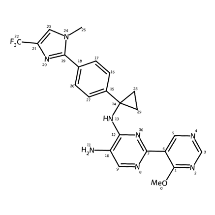 COc1ncncc1-c1ncc(N)c(NC2(c3ccc(-c4nc(C(F)(F)F)cn4C)cc3)CC2)n1